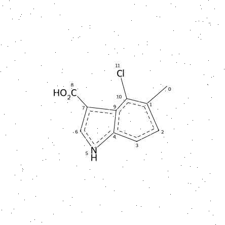 Cc1ccc2[nH]cc(C(=O)O)c2c1Cl